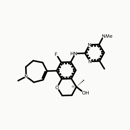 CNc1cc(C)nc(Nc2cc3c(c(C4=CCN(C)CCC4)c2F)OCC[C@]3(C)O)n1